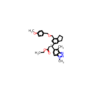 CCOC(=O)C[C@@H](c1cc2c(c(COCc3ccc(OC)cc3)c1)CCC2)c1ccc2c(nnn2C)c1C